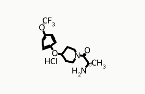 C[C@H](N)C(=O)N1CCC(Oc2ccc(OC(F)(F)F)cc2)CC1.Cl